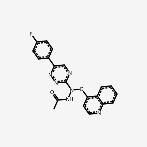 CC(=O)NN(Oc1ccnc2ccccc12)c1ncc(-c2ccc(F)cc2)nn1